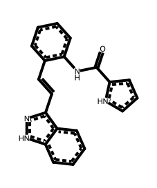 O=C(Nc1ccccc1/C=C/c1n[nH]c2ccccc12)c1ccc[nH]1